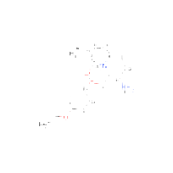 CCOC1CCC(OC[C@H]2[C@@H](N)CCc3ccc(C)c(=O)n32)CC1